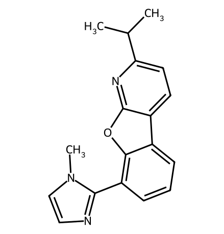 CC(C)c1ccc2c(n1)oc1c(-c3nccn3C)cccc12